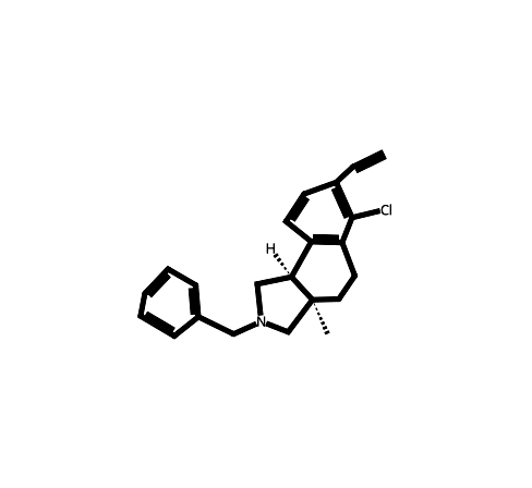 C=Cc1ccc2c(c1Cl)CC[C@@]1(C)CN(Cc3ccccc3)C[C@@H]21